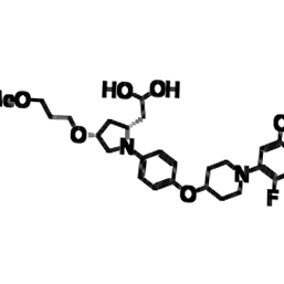 CCOc1ccc(F)c(N2CCC(Oc3ccc(N4C[C@H](OCCCOC)C[C@@H]4CC(O)O)cc3)CC2)c1